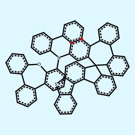 c1ccc(-c2ccccc2N(c2ccc3c(c2)C2(c4ccccc4-c4ccccc4-3)c3ccccc3-c3c2ccc2sc4ccccc4c32)c2cccc3c2Oc2ccccc2-c2ccccc2-3)cc1